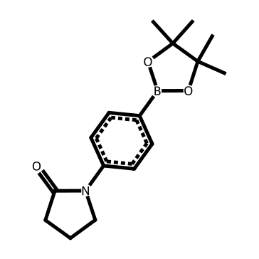 CC1(C)OB(c2ccc(N3CCCC3=O)cc2)OC1(C)C